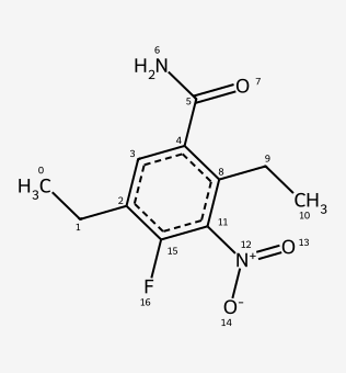 CCc1cc(C(N)=O)c(CC)c([N+](=O)[O-])c1F